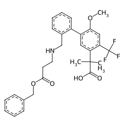 COc1cc(C(F)(F)F)c(C(C)(C)C(=O)O)cc1-c1ccccc1CNCCC(=O)OCc1ccccc1